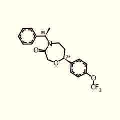 C[C@H](c1ccccc1)N1CC[C@@H](c2ccc(OC(F)(F)F)cc2)OCC1=O